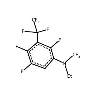 CCN(c1cc(F)c(F)c(C(F)(F)C(F)(F)F)c1F)C(F)(F)F